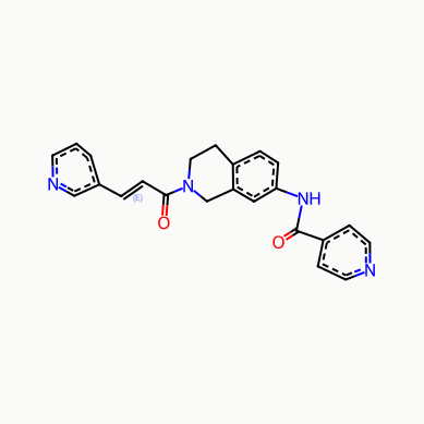 O=C(Nc1ccc2c(c1)CN(C(=O)/C=C/c1cccnc1)CC2)c1ccncc1